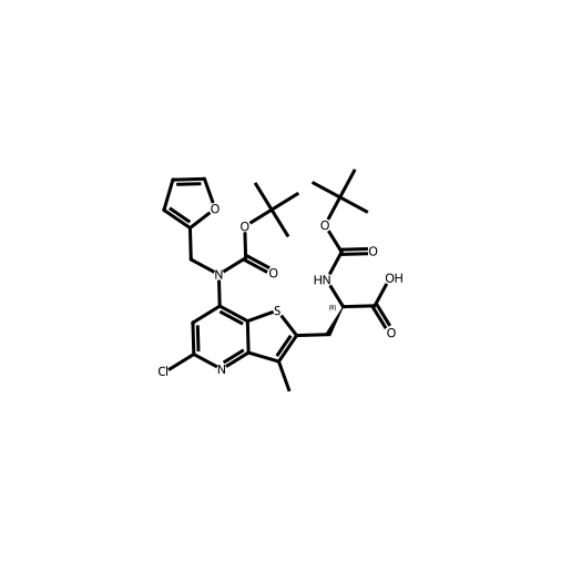 Cc1c(C[C@@H](NC(=O)OC(C)(C)C)C(=O)O)sc2c(N(Cc3ccco3)C(=O)OC(C)(C)C)cc(Cl)nc12